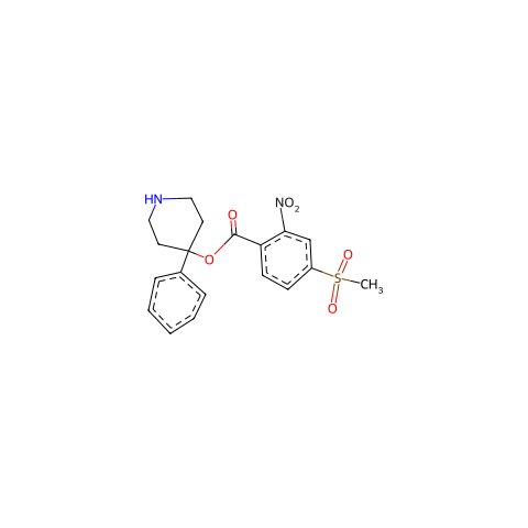 CS(=O)(=O)c1ccc(C(=O)OC2(c3ccccc3)CCNCC2)c([N+](=O)[O-])c1